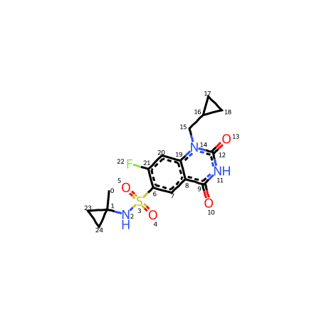 CC1(NS(=O)(=O)c2cc3c(=O)[nH]c(=O)n(CC4CC4)c3cc2F)CC1